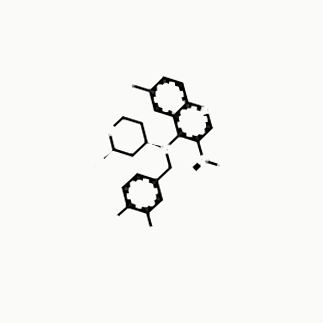 Cc1ccc(CN(c2c([N+](=O)[O-])cnc3ccc(Cl)cc23)[C@@H]2CCO[C@H](C)C2)cc1C